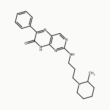 CC1CCCCN1CCCNc1ncc2nc(-c3ccccc3)c(=O)[nH]c2n1